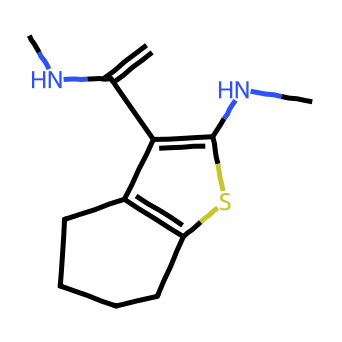 C=C(NC)c1c(NC)sc2c1CCCC2